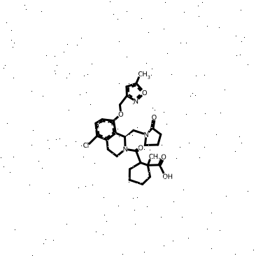 Cc1cc(COc2ccc(Cl)c3c2[C@@H](CN2CCCC2=O)N(C(=O)C2CCCCC2(C)C(=O)O)CC3)no1